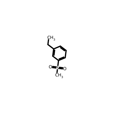 CCc1cccc(S(C)(=O)=O)c1